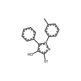 CCc1nn(-c2cccc(C)c2)c(-c2ccccc2)c1O